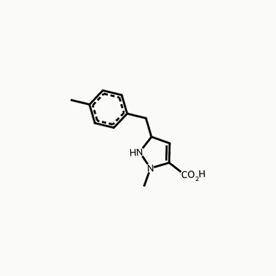 Cc1ccc(CC2C=C(C(=O)O)N(C)N2)cc1